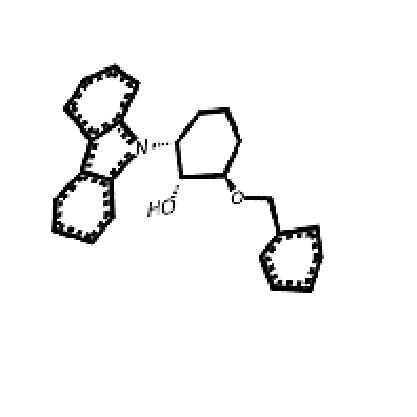 O[C@@H]1[C@H](n2c3ccccc3c3ccccc32)CCC[C@H]1OCc1ccccc1